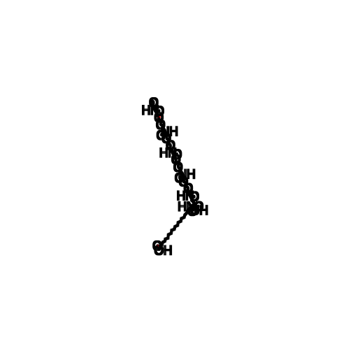 COCCNC(=O)COCCOCCNC(=O)COCCOCCNC(=O)COCCOCCNC(=O)COCCOCCNC(=O)CC[C@H](NC(=O)CCCCCCCCCCCCCCCCCCC(=O)O)C(=O)O